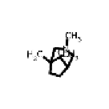 CN1CC2CCC(C)(C1)C2(C)C